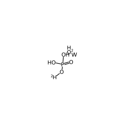 O.[2H]OP(=O)(O)O.[W]